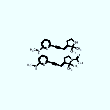 CNc1cccc(C#C/C=C2\CCN(C(=O)O)C2(C)C)n1.CNc1cccc(C#C/C=C2\CCNC2(C)C)n1